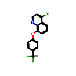 FC(F)(F)c1ccc(Oc2cccc3c(Br)ccnc23)cc1